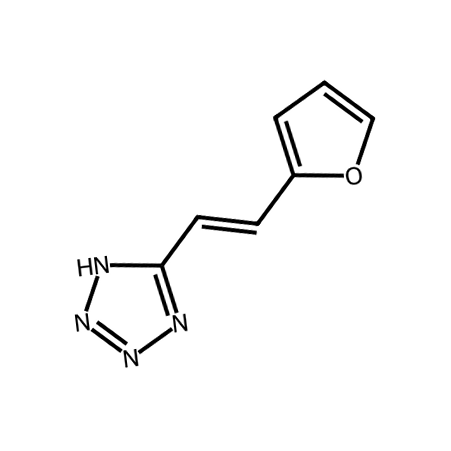 C(=C\c1ccco1)/c1nnn[nH]1